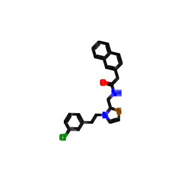 O=C(Cc1ccc2ccccc2c1)NCC1SC=CN1CCc1cccc(Cl)c1